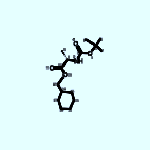 C[C@H](NC(=O)OC(C)(C)C)C(=O)OCC1CCCCC1